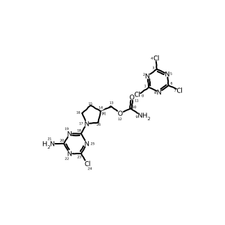 Clc1nc(Cl)nc(Cl)n1.NC(=O)OC[C@@H]1CCN(c2nc(N)nc(Cl)n2)C1